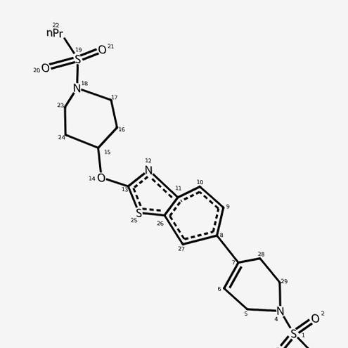 CCCS(=O)(=O)N1CC=C(c2ccc3nc(OC4CCN(S(=O)(=O)CCC)CC4)sc3c2)CC1